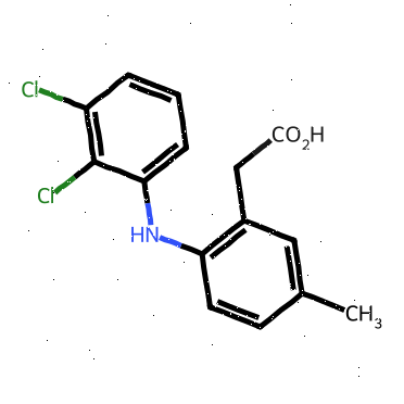 Cc1ccc(Nc2cccc(Cl)c2Cl)c(CC(=O)O)c1